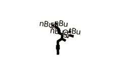 CC#CCC(C)C(/C=[CH]/[Sn]([CH2]CCC)([CH2]CCC)[CH2]CCC)O[Si](C)(C)C(C)(C)C